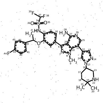 CC(Oc1cc(-c2nn(C)c3c(-c4cnn(C5CCC(C)(C)NC5)c4)cnc(N)c23)ccc1NS(=O)(=O)C(F)F)c1ccc(F)cc1